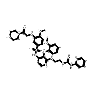 COc1ccc(S(=O)(=O)Nc2ncnc(OCCOC(=O)Nc3ccccn3)c2Oc2ccccc2OC)cc1OCC(=O)N1CCOCC1